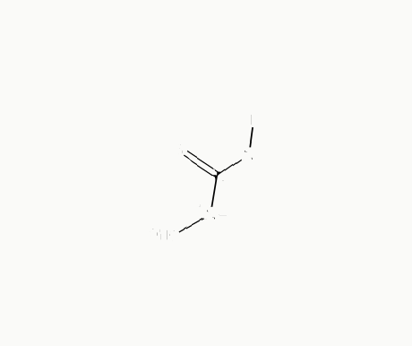 CCNC(=S)NC=O